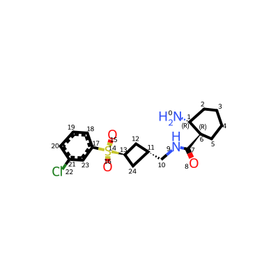 N[C@@H]1CCCC[C@H]1C(=O)NC[C@H]1C[C@H](S(=O)(=O)c2cccc(Cl)c2)C1